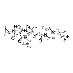 Cc1nn2c(O)c(C(=O)NC3CC3)c(=O)n(CC(C)C)c2c1/C=C/C(=O)N1CCN(CC2CC(F)(F)C2)C[C@H]1C